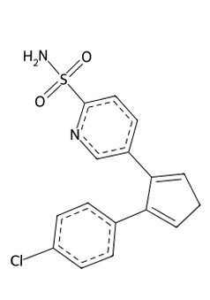 NS(=O)(=O)c1ccc(C2=CCC=C2c2ccc(Cl)cc2)cn1